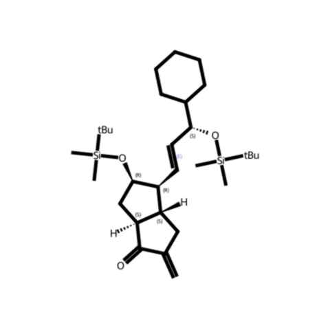 C=C1C[C@H]2[C@H](/C=C/[C@@H](O[Si](C)(C)C(C)(C)C)C3CCCCC3)[C@H](O[Si](C)(C)C(C)(C)C)C[C@@H]2C1=O